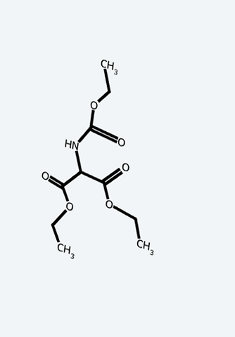 CCOC(=O)NC(C(=O)OCC)C(=O)OCC